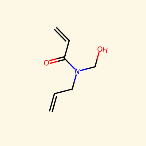 C=CCN(CO)C(=O)C=C